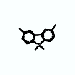 Cc1ccc2c(c1)-c1cc(C)ccc1[Si]2(C)C